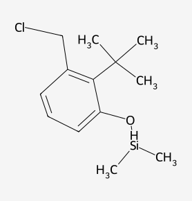 C[SiH](C)Oc1cccc(CCl)c1C(C)(C)C